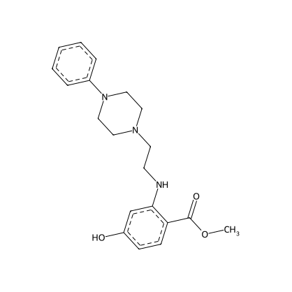 COC(=O)c1ccc(O)cc1NCCN1CCN(c2ccccc2)CC1